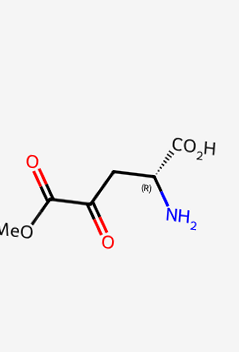 COC(=O)C(=O)C[C@@H](N)C(=O)O